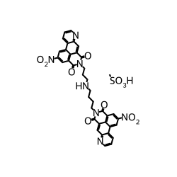 CS(=O)(=O)O.O=C1c2cc([N+](=O)[O-])cc3c2c(cc2ncccc23)C(=O)N1CCCCNCCCN1C(=O)c2cc([N+](=O)[O-])cc3c2c(cc2ncccc23)C1=O